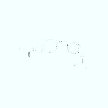 O=C(O)N1CC2(CCC(=Cc3ccc(OC(F)F)nc3)CC2)C1